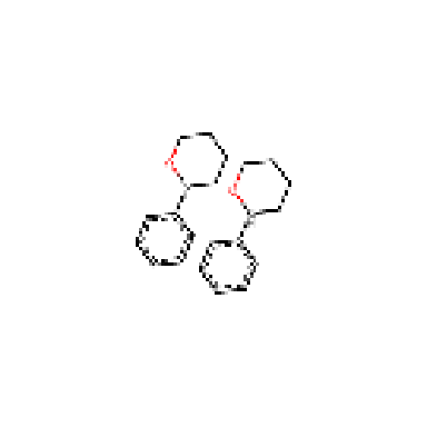 c1ccc([SiH]2CCCCO2)cc1.c1ccc([SiH]2CCCCO2)cc1